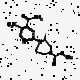 CC1CN(C(=O)OC(C)(C)C)CCN1c1cc(C(N)=O)c([N+](=O)[O-])cn1